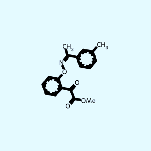 COC(=O)C(=O)c1ccccc1ON=C(C)c1cccc(C)c1